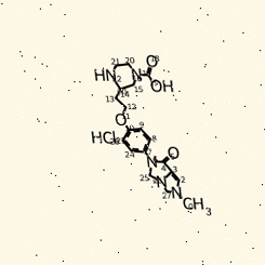 CN1C=C2C(=O)N(c3ccc(OCC[C@@H]4CN(C(=O)O)CCN4)cc3)CN2C1.Cl